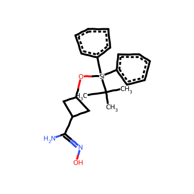 CC(C)(C)[Si](OC1CC(C(N)=NO)C1)(c1ccccc1)c1ccccc1